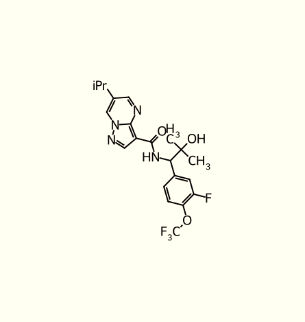 CC(C)c1cnc2c(C(=O)NC(c3ccc(OC(F)(F)F)c(F)c3)C(C)(C)O)cnn2c1